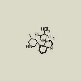 C[C@@H]1CNC[C@](NC(=O)[C@H](N)C(F)(F)F)(c2cccc3nccnc23)C1.Cl